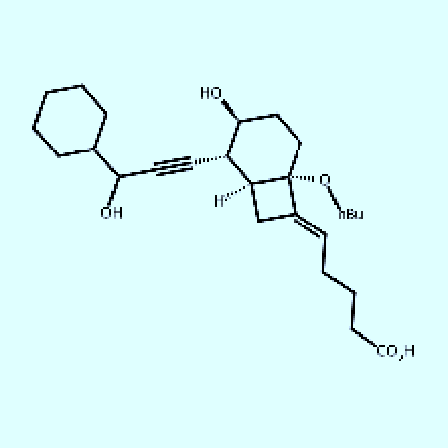 CCCCO[C@@]12CC[C@H](O)[C@@H](C#CC(O)C3CCCCC3)[C@@H]1CC2=CCCCC(=O)O